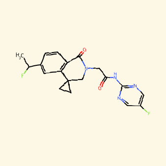 CC(F)c1ccc2c(c1)C1(CC1)CN(CC(=O)Nc1ncc(F)cn1)C2=O